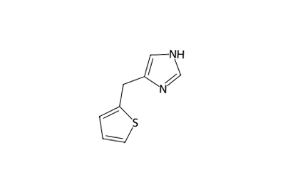 c1csc(Cc2c[nH]cn2)c1